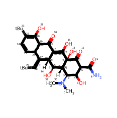 CN(C)[C@@H]1C(O)C(C(N)=O)C(=O)[C@@]2(O)C(O)=C3C(=O)C4C(O)=C(C(C)(C)C)C=CC4/C(=C\C(C)(C)C)[C@H]3[C@H](O)[C@@H]12